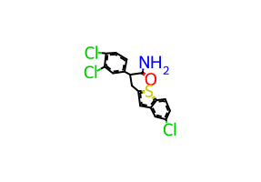 NC(=O)C(Cc1cc2cc(Cl)ccc2s1)c1ccc(Cl)c(Cl)c1